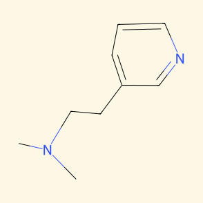 CN(C)CCc1cccnc1